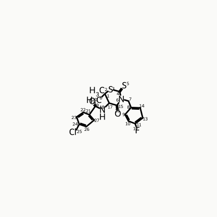 CC1(C)SC(=S)N(Cc2ccc(F)cc2)C(=O)C1NC(=O)c1ccc(Cl)cc1